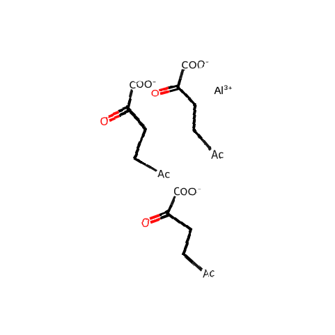 CC(=O)CCC(=O)C(=O)[O-].CC(=O)CCC(=O)C(=O)[O-].CC(=O)CCC(=O)C(=O)[O-].[Al+3]